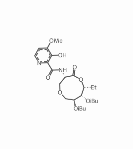 CC[C@H]1OC(=O)[C@@H](NC(=O)c2nccc(OC)c2O)COC[C@H](OCC(C)C)[C@H]1OCC(C)C